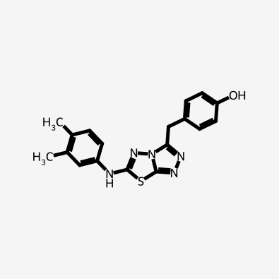 Cc1ccc(Nc2nn3c(Cc4ccc(O)cc4)nnc3s2)cc1C